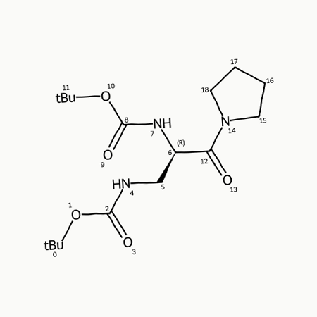 CC(C)(C)OC(=O)NC[C@@H](NC(=O)OC(C)(C)C)C(=O)N1CCCC1